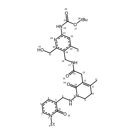 CCn1cccc(CNN2CCC(C)=C(CC(=O)NCc3c(C)cc(NC(=O)OC(C)(C)C)nc3CO)C2=O)c1=O